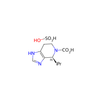 CC(C)[C@H]1c2nc[nH]c2CCN1C(=O)O.O=S(=O)(O)O